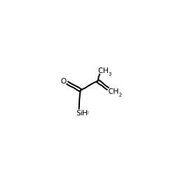 C=C(C)C(=O)[SiH]